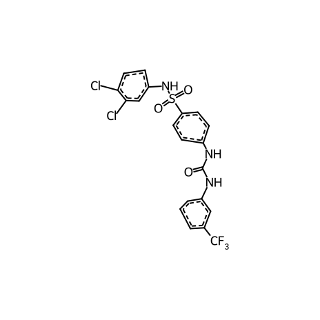 O=C(Nc1ccc(S(=O)(=O)Nc2ccc(Cl)c(Cl)c2)cc1)Nc1cccc(C(F)(F)F)c1